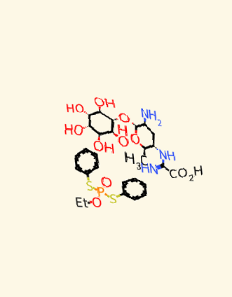 CCOP(=O)(Sc1ccccc1)Sc1ccccc1.C[C@H]1O[C@H](O[C@H]2[C@H](O)[C@@H](O)[C@@H](O)[C@H](O)[C@@H]2O)[C@@H](N)C[C@@H]1NC(=N)C(=O)O